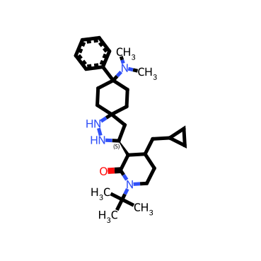 CN(C)C1(c2ccccc2)CCC2(CC1)C[C@@H](C1C(=O)N(C(C)(C)C)CCC1CC1CC1)NN2